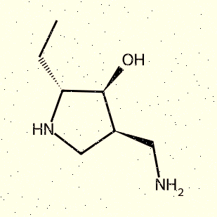 CC[C@H]1NC[C@H](CN)[C@@H]1O